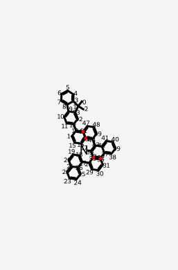 CC1(C)c2ccccc2-c2ccc(-c3ccc(N(c4ccc5ccccc5c4-c4ccccc4)c4ccc5ccccc5c4-c4ccccc4)cc3)cc21